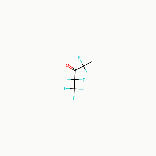 CC(F)(F)C(=O)C(F)(F)C(F)(F)F